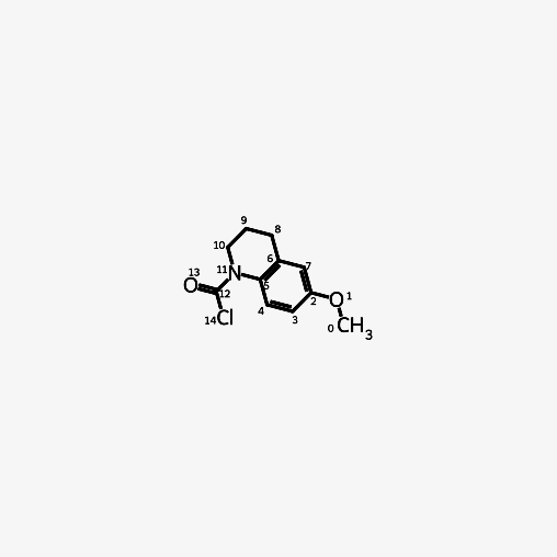 COc1ccc2c(c1)CCCN2C(=O)Cl